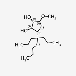 CCCOC(CCC)(CCC)[C@H]1O[C@H](OC)[C@H](O)[C@@H]1O